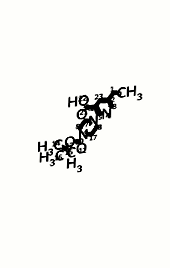 CCc1cnc(N2CCN(C(=O)OC(C)(C)C)CC2)c(C(=O)O)c1